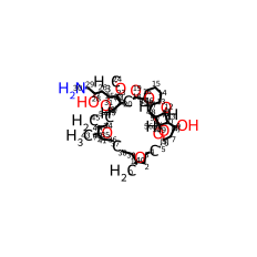 C=C1CC2CC[C@@]34C[C@@H](O)C5[C@@H]6OC7CCC(CC(=O)CC8[C@@H](OC)C(CC(O)CN)O[C@H]8CC8OC(CCC1O2)C[C@@H](C)C8=C)O[C@@H]7C(O3)C6[C@@H]5O4